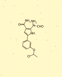 CC(Cl)Oc1cccc(-c2cc(C(N)=O)c(N(N)C=O)[nH]2)c1